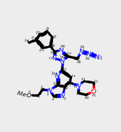 COCCn1cnc2c(N3CCOCC3)cc(-n3nc(-c4cccc(C)c4)nc3CN=[N+]=[N-])nc21